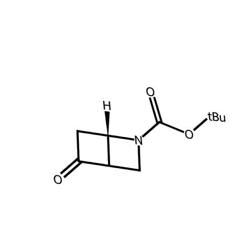 CC(C)(C)OC(=O)N1CC2C(=O)C[C@@H]21